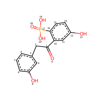 O=C(Cc1cccc(O)c1)c1cc(O)ccc1P(=O)(O)O